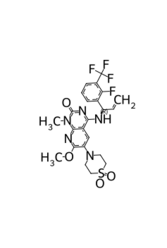 C=C[C@@H](Nc1nc(=O)n(C)c2nc(OC)c(N3CCS(=O)(=O)CC3)cc12)c1cccc(C(F)(F)F)c1F